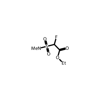 CCOC(=O)C(F)S(=O)(=O)NC